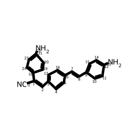 N#CC(=Cc1ccc(C=Cc2ccc(N)cc2)cc1)c1ccc(N)cc1